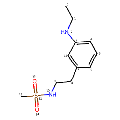 CCNc1cccc(CCNS(C)(=O)=O)c1